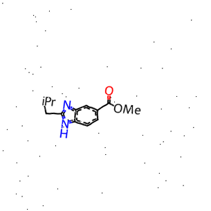 COC(=O)c1ccc2[nH]c(CC(C)C)nc2c1